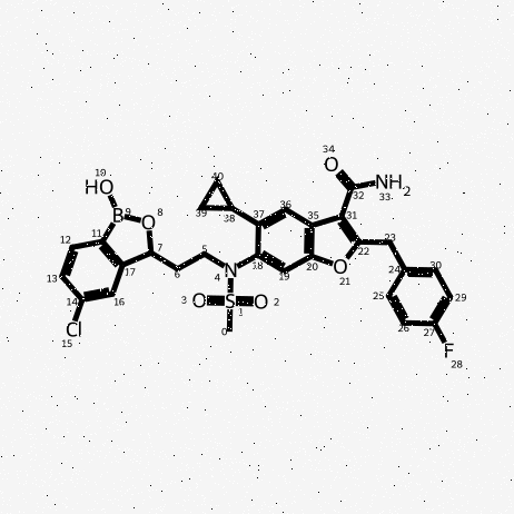 CS(=O)(=O)N(CCC1OB(O)c2ccc(Cl)cc21)c1cc2oc(Cc3ccc(F)cc3)c(C(N)=O)c2cc1C1CC1